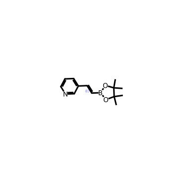 CC1(C)OB(/C=C/c2cccnc2)OC1(C)C